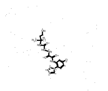 CC(C)(CCO)NC(=O)NNC(=O)C(=O)Nc1cc(Cl)ccc1-n1cnnn1